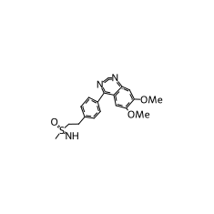 COc1cc2ncnc(-c3ccc(CCS(C)(=N)=O)cc3)c2cc1OC